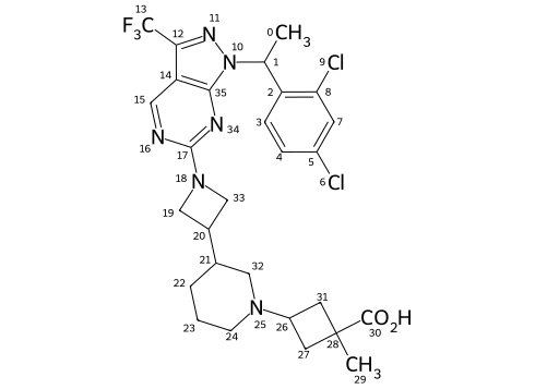 CC(c1ccc(Cl)cc1Cl)n1nc(C(F)(F)F)c2cnc(N3CC(C4CCCN(C5CC(C)(C(=O)O)C5)C4)C3)nc21